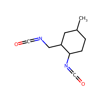 CC1CCC(N=C=O)C(CN=C=O)C1